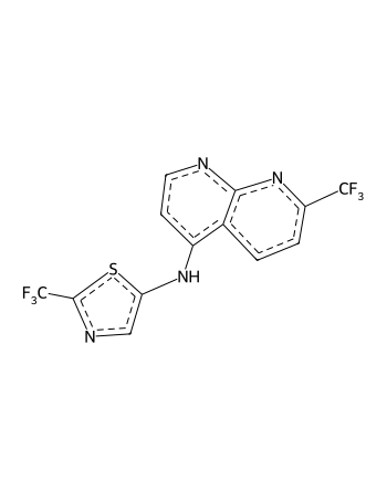 FC(F)(F)c1ccc2c(Nc3cnc(C(F)(F)F)s3)ccnc2n1